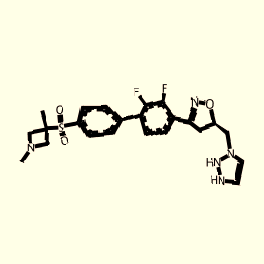 CN1CC(C)(S(=O)(=O)c2ccc(-c3ccc(C4=NO[C@@H](CN5C=CNN5)C4)c(F)c3F)cc2)C1